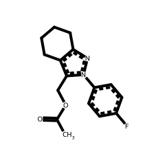 CC(=O)OCc1c2c(nn1-c1ccc(F)cc1)CCCC2